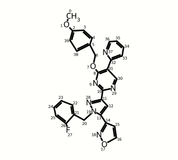 COc1ccc(COc2nc(-c3cc(-c4ccon4)n(Cc4ccccc4F)n3)ncc2-c2ccccn2)cc1